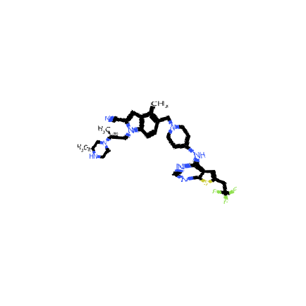 Cc1c(CN2CCC(Nc3ncnc4sc(CC(F)(F)F)cc34)CC2)ccc2c1cc(C#N)n2C[C@@H](C)N1CCN[C@H](C)C1